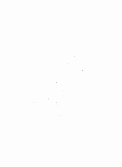 CC(C)[C@@H](Cc1ccc(OC(C)(C)C)cc1)C(=O)C(C)(C)C